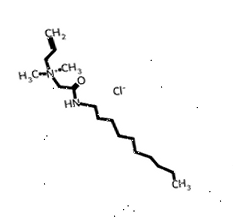 C=CC[N+](C)(C)CC(=O)NCCCCCCCCCC.[Cl-]